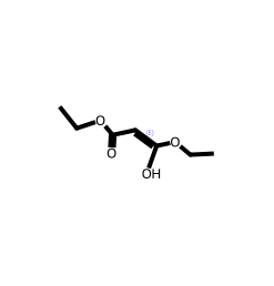 CCOC(=O)/C=C(\O)OCC